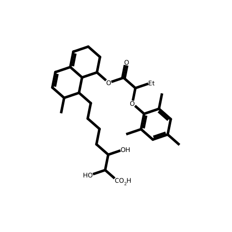 CCC(Oc1c(C)cc(C)cc1C)C(=O)OC1CCC=C2C=CC(C)C(CCCCC(O)C(O)C(=O)O)C21